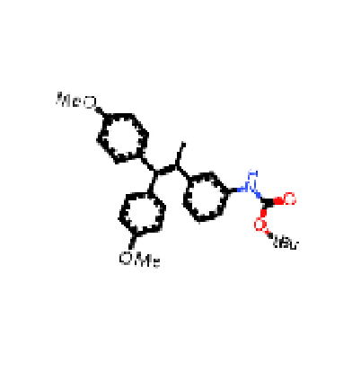 COc1ccc(C(=C(C)c2cccc(NC(=O)OC(C)(C)C)c2)c2ccc(OC)cc2)cc1